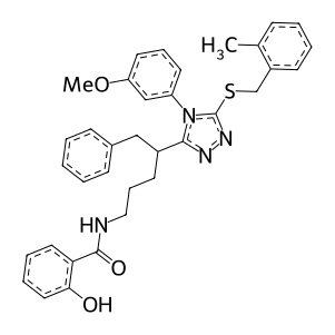 COc1cccc(-n2c(SCc3ccccc3C)nnc2C(CCCNC(=O)c2ccccc2O)Cc2ccccc2)c1